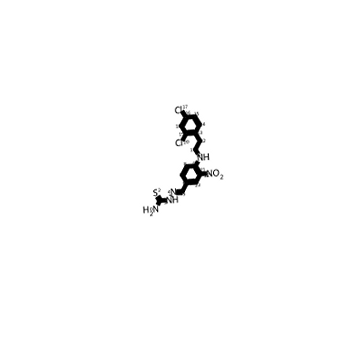 NC(=S)N/N=C/c1ccc(NCCc2ccc(Cl)cc2Cl)c([N+](=O)[O-])c1